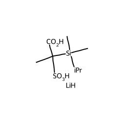 CC(C)[Si](C)(C)C(C)(C(=O)O)S(=O)(=O)O.[LiH]